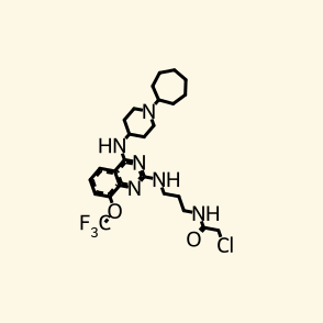 O=C(CCl)NCCCNc1nc(NC2CCN(C3CCCCCC3)CC2)c2cccc(OC(F)(F)F)c2n1